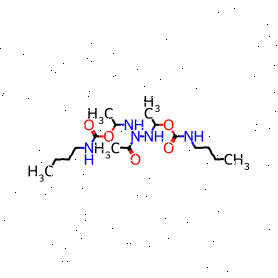 CCCCNC(=O)OC(C)NN(NC(C)OC(=O)NCCCC)C(C)=O